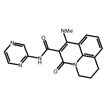 CNc1c(C(=O)Nc2cnccn2)c(=O)n2c3c(cccc13)CCC2